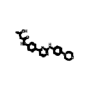 CC(O)CC(=O)Nc1ccc(-c2ccnc(Nc3ccc(N4CCOCC4)cc3)n2)cc1